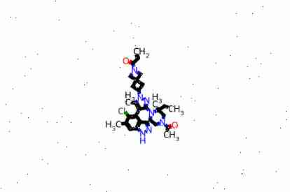 C=CC(=O)N1CC2(CC(n3nc(N4CCN(C(C)=O)CC4(C)CC)c(-c4c(Cl)c(C)cc5[nH]ncc45)c3C)C2)C1